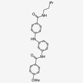 COc1ccc(C(=O)Nc2cccc(Nc3ccc(C(=O)NCCC(C)C)cc3)c2)cc1